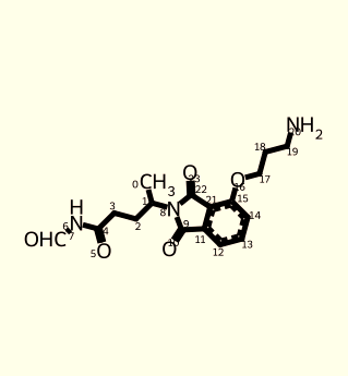 CC(CCC(=O)NC=O)N1C(=O)c2cccc(OCCCN)c2C1=O